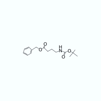 CC(C)(C)OC(=O)NCCCC(=O)OCc1ccccc1